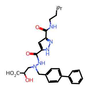 CC(C)CCNC(=O)c1cc(C(=O)NN(Cc2ccc(-c3ccccc3)cc2)CC(O)C(=O)O)[nH]n1